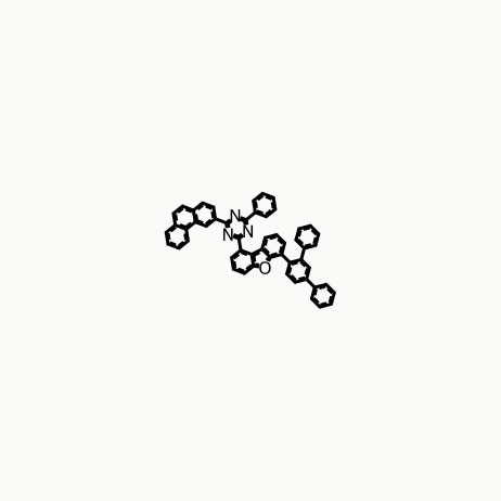 c1ccc(-c2ccc(-c3cccc4c3oc3cccc(-c5nc(-c6ccccc6)nc(-c6ccc7ccc8ccccc8c7c6)n5)c34)c(-c3ccccc3)c2)cc1